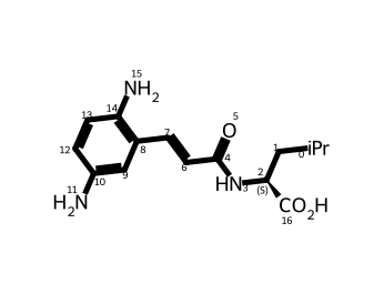 CC(C)C[C@H](NC(=O)C=Cc1cc(N)ccc1N)C(=O)O